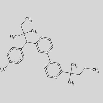 CCCC(C)(C)c1cccc(-c2cccc(C(c3ccc(C)cc3)C(C)(C)CC)c2)c1